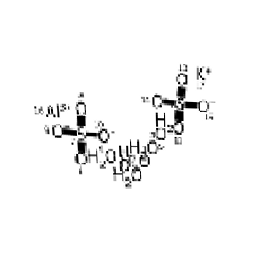 O.O.O.O.O.O.O=S(=O)([O-])[O-].O=S(=O)([O-])[O-].[Al+3].[K+]